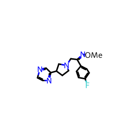 CO/N=C(/CN1CCC(c2cnccn2)C1)c1ccc(F)cc1